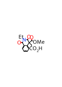 CCN1C(=O)c2ccccc2C(CC(=O)O)(C(=O)OC)C1=O